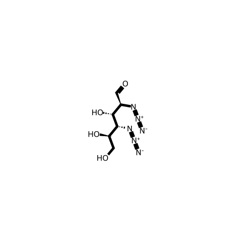 [N-]=[N+]=N[C@@H]([C@H](O)[C@@H](C=O)N=[N+]=[N-])[C@H](O)CO